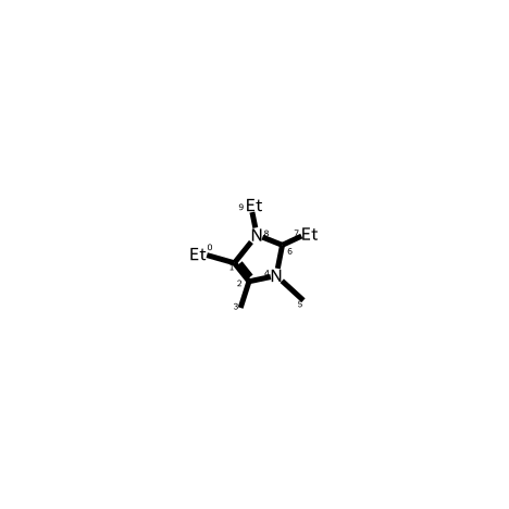 CCC1=C(C)N(C)C(CC)N1CC